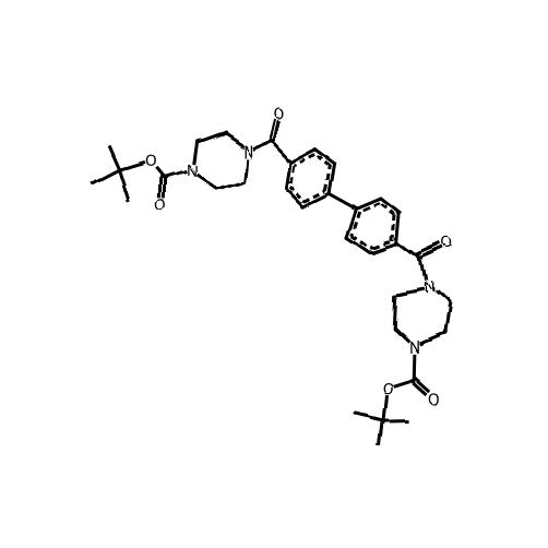 CC(C)(C)OC(=O)N1CCN(C(=O)c2ccc(-c3ccc(C(=O)N4CCN(C(=O)OC(C)(C)C)CC4)cc3)cc2)CC1